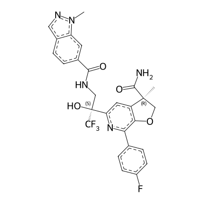 Cn1ncc2ccc(C(=O)NC[C@](O)(c3cc4c(c(-c5ccc(F)cc5)n3)OC[C@]4(C)C(N)=O)C(F)(F)F)cc21